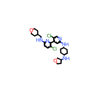 Clc1cnc(N[C@H]2CC[C@H](NC3CCOC3)CC2)cc1-c1nc(NCC2CCOCC2)ccc1Cl